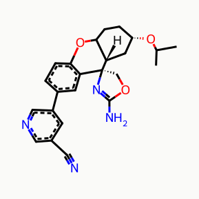 CC(C)O[C@H]1CCC2Oc3ccc(-c4cncc(C#N)c4)cc3[C@@]3(COC(N)=N3)[C@H]2C1